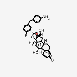 C[C@]12C=CC(=O)C=C1CC[C@@H]1[C@@H]2[C@@H](O)C[C@@]2(C)[C@H]1C[C@H]1O[C@@H](c3cc(Cc4ccc(N)cc4)ccc3F)O[C@]12C(=O)CO